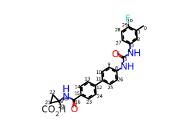 Cc1cc(NC(=O)Nc2ccc(-c3ccc(C(=O)NC4(C(=O)O)CC4)cc3)cc2)ccc1F